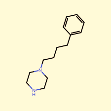 c1ccc(CCCCN2CCNCC2)cc1